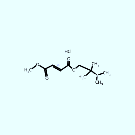 COC(=O)/C=C/C(=O)OCC(C)(C)N(C)C.Cl